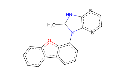 CC1Nc2bccbc2N1c1cccc2c1oc1ccccc12